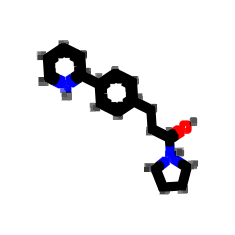 O=C(CCc1ccc(-c2ccccn2)cc1)N1CCCC1